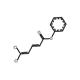 O=C(C=CC=C(Cl)Cl)Oc1ccccc1